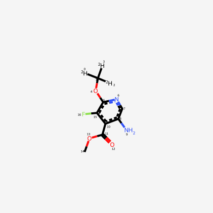 [2H]C([2H])([2H])Oc1ncc(N)c(C(=O)OC)c1F